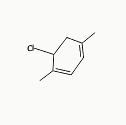 CC1=CC=C(C)C(Cl)C1